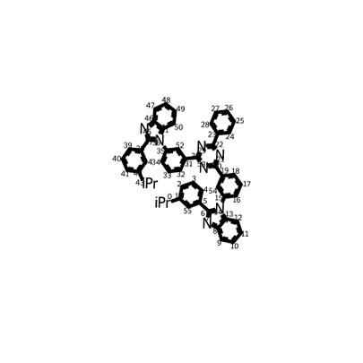 CC(C)c1cccc(-c2nc3ccccc3n2-c2cccc(-c3nc(-c4ccccc4)nc(-c4cccc(-n5c(-c6cccc(C(C)C)c6)nc6ccccc65)c4)n3)c2)c1